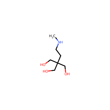 CNCCC(CO)(CO)CO